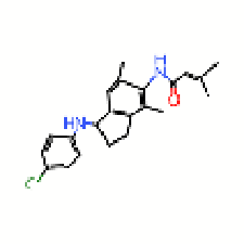 CC(C)=CC(=O)Nc1c(C)cc2c(c1C)CCC2Nc1ccc(Cl)cc1